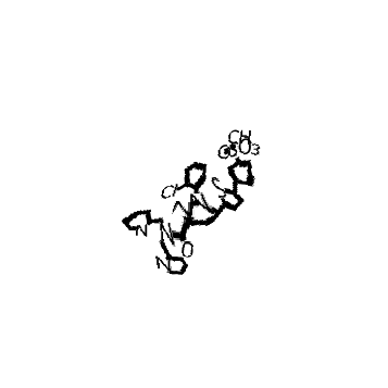 CS(=O)(=O)c1cccc(-c2ccc(-c3cc(C(=O)N(Cc4ccccn4)Cc4ccccn4)nn3-c3ccccc3Cl)s2)c1